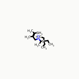 CC[Si](CC)(CC)C(C)NCC(C)=C(C)[SiH3]